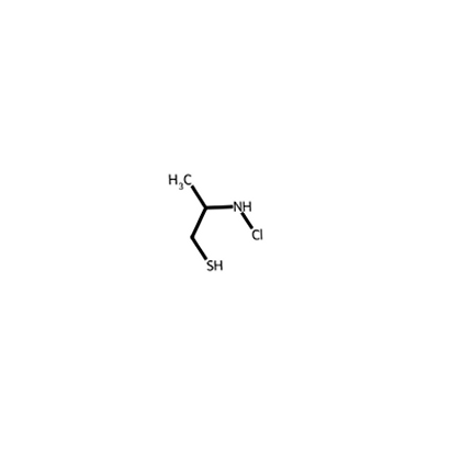 CC(CS)NCl